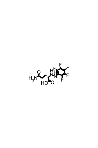 NC(=O)CC[C@H](NNc1c(F)c(F)c(F)c(F)c1F)C(=O)O